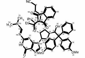 CCC(O[C@@H]1[C@H](OP(OCCC#N)N(C(C)C)C(C)C)[C@@H](C(O)C(c2ccccc2)(c2ccc(OC)cc2)c2ccc(OC)cc2)O[C@H]1n1cnc2c(=O)[nH]c(N=CN(C)C)nc21)N1C(=O)c2ccccc2C1=O